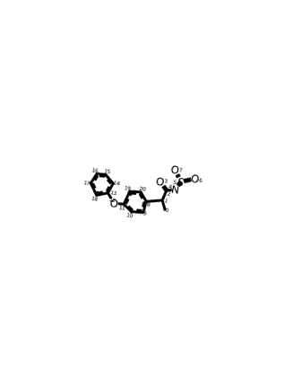 CC(C(=O)N=S(=O)=O)c1ccc(Oc2ccccc2)cc1